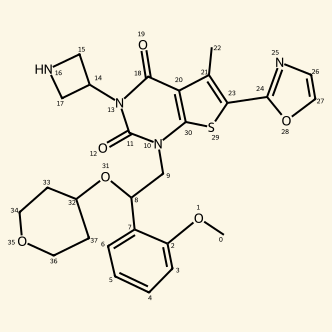 COc1ccccc1C(Cn1c(=O)n(C2CNC2)c(=O)c2c(C)c(-c3ncco3)sc21)OC1CCOCC1